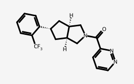 O=C(c1cccnn1)N1C[C@H]2C[C@H](c3ccccc3C(F)(F)F)C[C@H]2C1